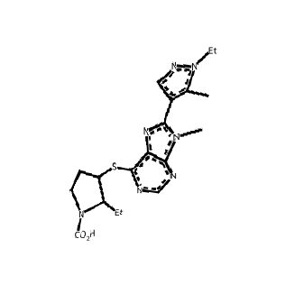 CCC1C(Sc2ncnc3c2nc(-c2cnn(CC)c2C)n3C)CCN1C(=O)O